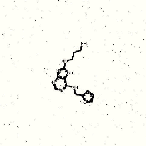 NCCCNc1nc2ncnc(NCc3ccco3)c2[nH]1